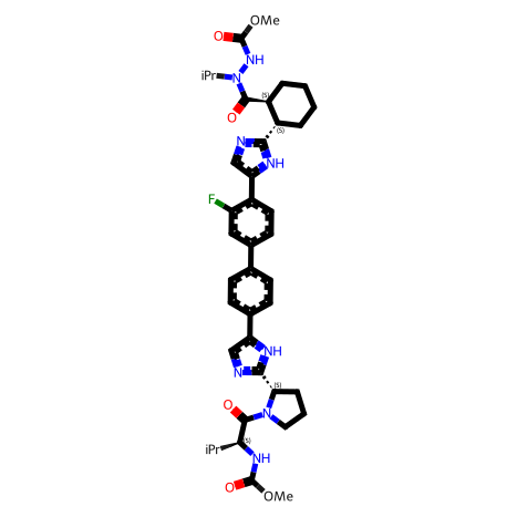 COC(=O)N[C@H](C(=O)N1CCC[C@H]1c1ncc(-c2ccc(-c3ccc(-c4cnc([C@H]5CCCC[C@@H]5C(=O)N(NC(=O)OC)C(C)C)[nH]4)c(F)c3)cc2)[nH]1)C(C)C